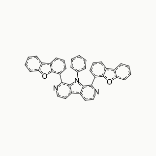 c1ccc(-n2c3c(-c4cccc5c4oc4ccccc45)nccc3c3ccnc(-c4cccc5c4oc4ccccc45)c32)cc1